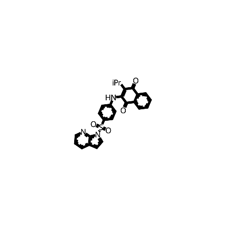 CC(C)C1=C(Nc2ccc(S(=O)(=O)n3ccc4cccnc43)cc2)C(=O)c2ccccc2C1=O